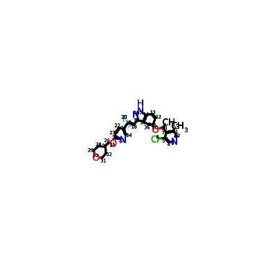 Cc1cncc(Cl)c1[C@@H](C)Oc1ccc2[nH]nc(/C=C(\F)c3ccc(OCC4CCOCC4)nc3)c2c1